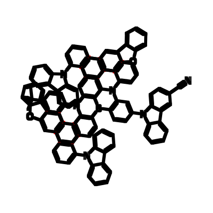 CC(C)(C)c1ccc(N2c3cc(-c4c(-c5ccc6c(c5)oc5ccccc56)cccc4-n4c5ccccc5c5ccccc54)ccc3B3c4ccc(-n5c6ccccc6c6cc(C#N)ccc65)cc4N(c4ccccc4-c4ccccc4)c4cc(-c5c(-c6ccc7oc8ccccc8c7c6)cccc5-n5c6ccccc6c6ccccc65)cc2c43)c(-c2ccccc2)c1